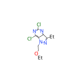 CCOCCn1nc(CC)c2nc(Cl)nc(Cl)c21